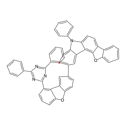 c1ccc(-c2nc(-c3ccccc3)nc(-c3cccc4oc5ccc(-c6ccc7c(c6)c6c8oc9ccccc9c8ccc6n7-c6ccccc6)cc5c34)n2)cc1